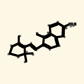 CC1=C(C=Cc2ccc3cc(C(=O)O)ccc3c2C)C(C)(C)CCC1